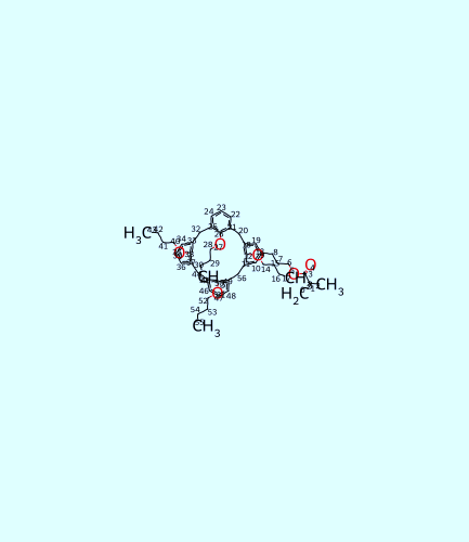 C=C(C)C(=O)OCCCc1cc2c(OCCCC)c(c1)Cc1cccc(c1OCCCC)Cc1cccc(c1OCCCC)Cc1cccc(c1OCCCC)C2